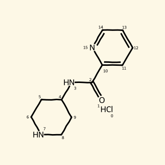 Cl.O=C(NC1CCNCC1)c1ccccn1